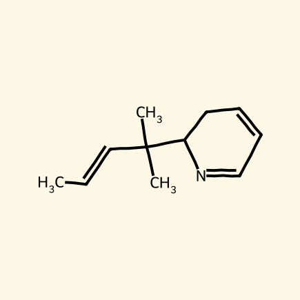 CC=CC(C)(C)C1CC=CC=N1